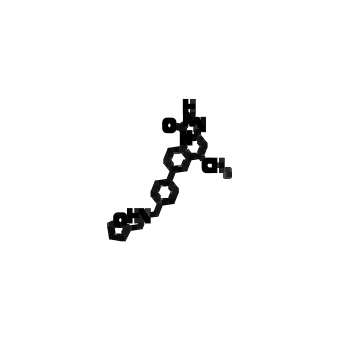 Cc1cc2n[nH]c(=O)n2c2ccc(-c3ccc(CNCc4ccco4)cc3)cc12